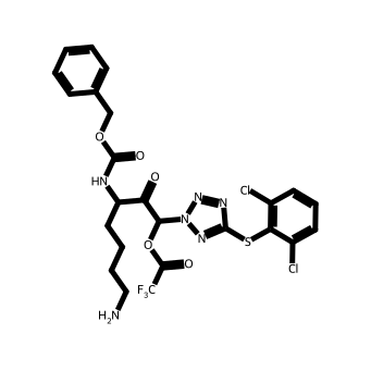 NCCCCC(NC(=O)OCc1ccccc1)C(=O)C(OC(=O)C(F)(F)F)n1nnc(Sc2c(Cl)cccc2Cl)n1